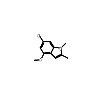 COc1cc(Cl)cc2c1cc(C)n2C